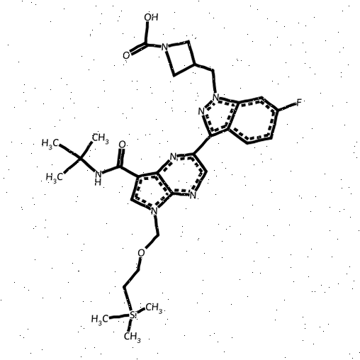 CC(C)(C)NC(=O)c1cn(COCC[Si](C)(C)C)c2ncc(-c3nn(CC4CN(C(=O)O)C4)c4cc(F)ccc34)nc12